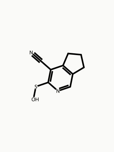 N#Cc1c(SO)ncc2c1CCC2